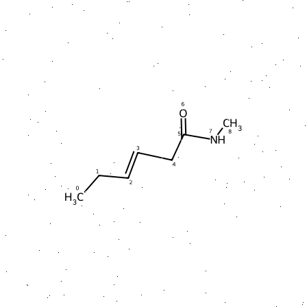 CCC=CCC(=O)NC